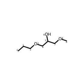 CCCOCC(O)COC